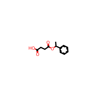 CC(OC(=O)CCC(=O)O)c1ccccc1